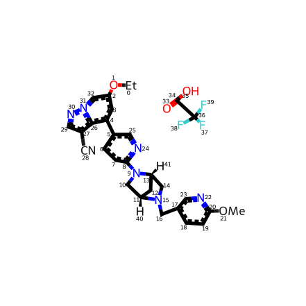 CCOc1cc(-c2ccc(N3C[C@@H]4C[C@H]3CN4Cc3ccc(OC)nc3)nc2)c2c(C#N)cnn2c1.O=C(O)C(F)(F)F